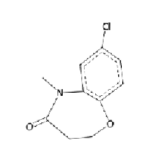 CN1C(=O)CCOc2ccc(Cl)cc21